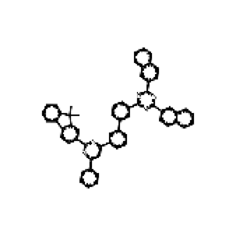 CC1(C)c2ccccc2-c2ccc(-c3nc(-c4ccccc4)cc(-c4cccc(-c5cccc(-c6nc(-c7ccc8ccccc8c7)nc(-c7ccc8ccccc8c7)n6)c5)c4)n3)cc21